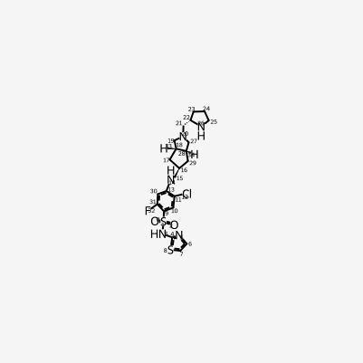 O=S(=O)(Nc1nccs1)c1cc(Cl)c(NC[C@H]2C[C@@H]3CN(C[C@@H]4CCCN4)C[C@@H]3C2)cc1F